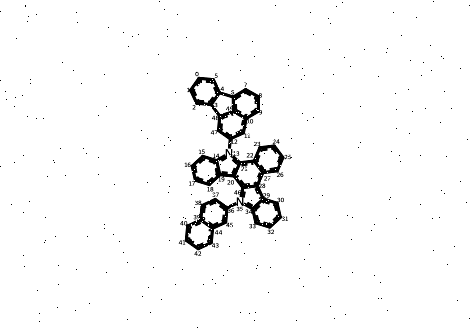 c1ccc2c(c1)-c1cccc3cc(-n4c5ccccc5c5c4c4ccccc4c4c6ccccc6n(-c6ccc7ccccc7c6)c45)cc-2c13